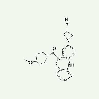 CO[C@H]1CC[C@H](C(=O)N2Cc3cccnc3Nc3ccc(N4CC(C#N)C4)cc32)CC1